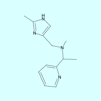 Cc1nc(CN(C)C(C)c2ccccn2)c[nH]1